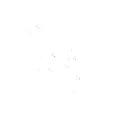 CC(=O)Nc1ccccc1Nc1nc(Nc2cc(C(N)=O)ccc2C)ncc1C(F)(F)F